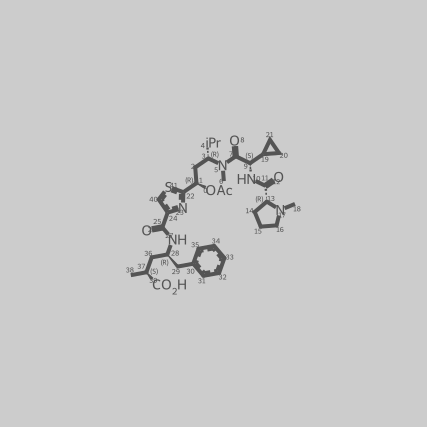 CC(=O)O[C@H](C[C@H](C(C)C)N(C)C(=O)[C@@H](NC(=O)[C@H]1CCCN1C)C1CC1)c1nc(C(=O)N[C@@H](Cc2ccccc2)C[C@H](C)C(=O)O)cs1